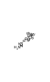 CC(C)(C)[S+]([O-])NC1(c2cnc(OC3CC(c4cnc(N)nc4)C3)s2)CCC1